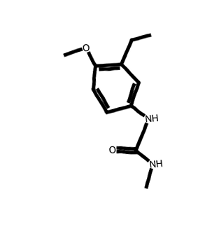 CCc1cc(NC(=O)NC)ccc1OC